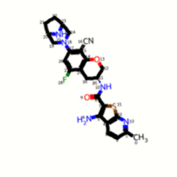 Cc1ccc2c(N)c(C(=O)N[C@H]3COc4c(C#N)c(N5CC6CCC(C5)N6)cc(F)c4C3)sc2n1